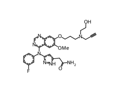 C#CCN(CCO)CCCOc1cc2ncnc(N(c3cccc(F)c3)c3cc(CC(N)=O)[nH]n3)c2cc1OC